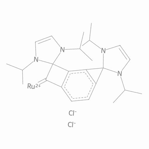 CC(C)N1C=CN(C(C)C)C12[C](=[Ru+2])c1ccc3c(c12)C31N(C(C)C)C=CN1C(C)C.[Cl-].[Cl-]